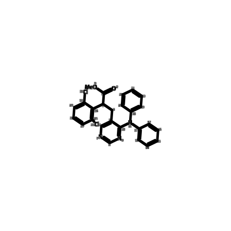 COC(=O)C(Cc1cncnc1N(c1ccccc1)c1ccccc1)c1c(Cl)cccc1Cl